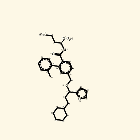 CSCC[C@H](NC(=O)c1ccc(COC(CCC2CCCCC2)c2ccco2)cc1-c1ccccc1C)C(=O)O